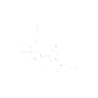 C=CCOC(=O)C(O)(CC)CN1OCC2C1C(F)(F)CN2C(=O)OC(C)(C)C